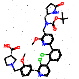 COc1cc(-c2nccc(-c3cccc(-c4ccc(CN(C[C@@H]5CCC(=O)N5)C(=O)OC(C)(C)C)c(OC)n4)c3Cl)c2Cl)ccc1CN1CC[C@H](C(=O)O)C1